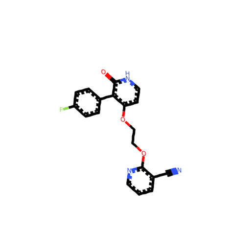 N#Cc1cccnc1OCCOc1cc[nH]c(=O)c1-c1ccc(F)cc1